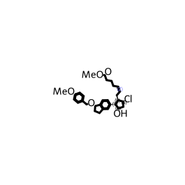 COC(=O)CCC/C=C\C[C@@H]1[C@@H](c2ccc3c(c2)CCC3OCc2ccc(OC)cc2)[C@H](O)C[C@@H]1Cl